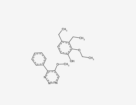 CCOc1c(O)ccc(CC)c1CC.COc1cnnnc1-c1ccccc1